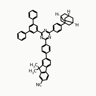 CC1(C)c2cc(C#N)ccc2-c2ccc(-c3ccc(-c4nc(-c5ccc(C67C[C@H]8C[C@@H](C6)C[C@@H](C7)C8)cc5)nc(-c5cc(-c6ccccc6)cc(-c6ccccc6)c5)n4)cc3)cc21